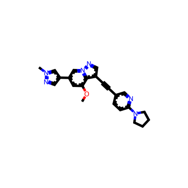 COc1cc(-c2cnn(C)c2)cn2ncc(C#Cc3ccc(N4CCCC4)nc3)c12